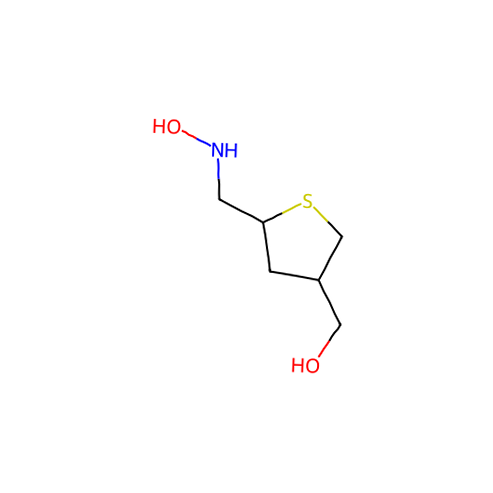 OCC1CSC(CNO)C1